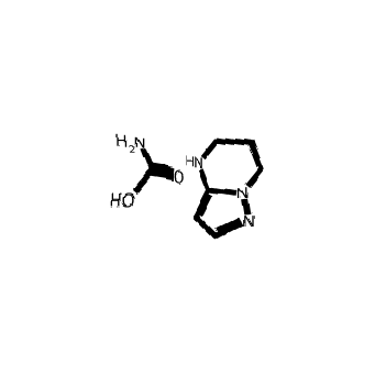 NC(=O)O.c1cc2n(n1)CCCN2